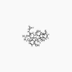 C=C(C(OC)[C@@H]1Oc2c(O)ccc(C)c2[C@@]12CCN(CC1CC1)[C@H](C)C2)C(C)(O)c1cccc(F)c1